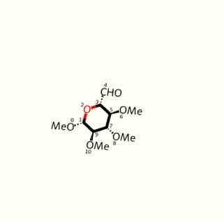 CO[C@@H]1O[C@H](C=O)[C@@H](OC)[C@H](OC)[C@H]1OC